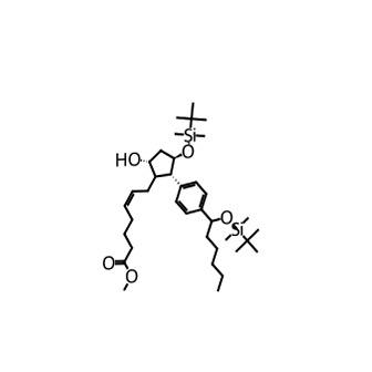 CCCCCC(O[Si](C)(C)C(C)(C)C)c1ccc([C@@H]2C(C/C=C\CCCC(=O)OC)[C@H](O)C[C@H]2O[Si](C)(C)C(C)(C)C)cc1